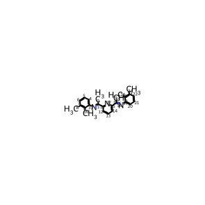 C/C(=N\c1cccc(C)c1C)c1cccc(/C(C)=N/c2cccc(C)c2C)n1